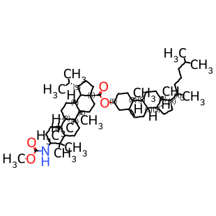 COC(=O)NC1CC[C@@]2(C)C(CC[C@]3(C)[C@@H]2CC[C@@H]2C4[C@H](C(C)C)CC[C@]4(C(=O)O[C@H]4CC[C@@]5(C)C(=CC[C@H]6[C@@H]7CC[C@H]([C@H](C)CCCC(C)C)[C@@]7(C)CC[C@@H]65)C4)CC[C@]23C)C1(C)C